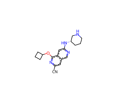 N#Cc1cc2cnc(N[C@H]3CCCNC3)cc2c(OC2CCC2)n1